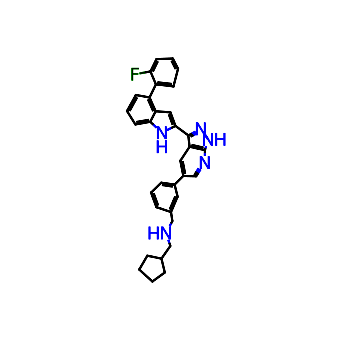 Fc1ccccc1-c1cccc2[nH]c(-c3n[nH]c4ncc(-c5cccc(CNCC6CCCC6)c5)cc34)cc12